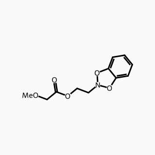 COCC(=O)OCCN1Oc2ccccc2O1